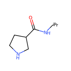 CC(C)NC(=O)C1CCNC1